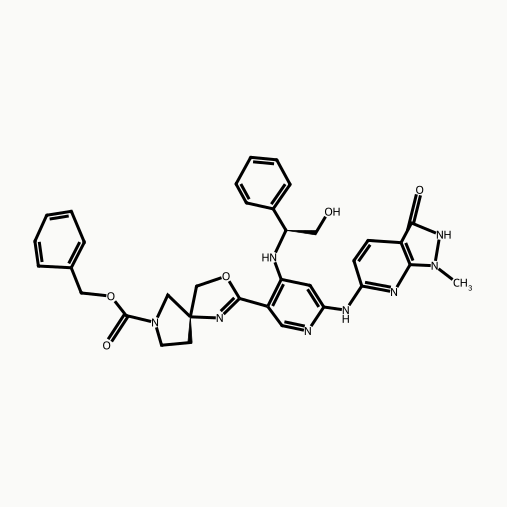 Cn1[nH]c(=O)c2ccc(Nc3cc(N[C@H](CO)c4ccccc4)c(C4=N[C@@]5(CCN(C(=O)OCc6ccccc6)C5)CO4)cn3)nc21